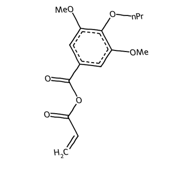 C=CC(=O)OC(=O)c1cc(OC)c(OCCC)c(OC)c1